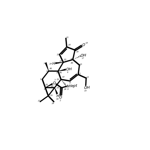 CCCCCCCC(=O)O[C@@]12C[C@@H](C)[C@@]3(O)[C@@H](C=C(CO)C[C@]4(O)C(=O)C(C)=C[C@@H]34)[C@@H]1C2(C)C